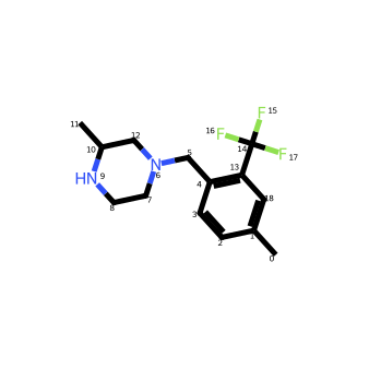 Cc1ccc(CN2CCNC(C)C2)c(C(F)(F)F)c1